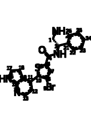 NC[C@@H](NC(=O)c1cc(Br)c(-c2ccnc3[nH]ccc23)s1)c1ccccc1